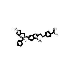 CN1CCC(CN(c2ccc3c(c2)nc(CCc2ccc(C(=N)N)cc2)n3C)S(=O)(=O)c2ccccc2)C1